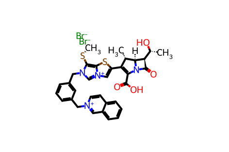 CSc1c2sc(C3=C(C(=O)O)N4C(=O)[C@H]([C@@H](C)O)[C@@H]4[C@H]3C)c[n+]2cn1Cc1cccc(C[n+]2ccc3ccccc3c2)c1.[Br-].[Br-]